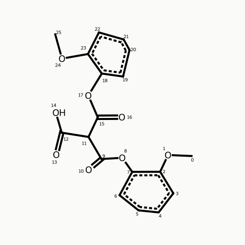 COc1ccccc1OC(=O)C(C(=O)O)C(=O)Oc1ccccc1OC